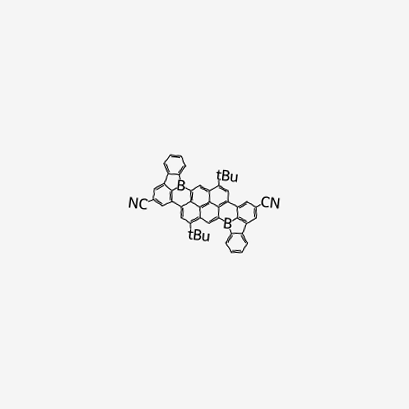 CC(C)(C)c1cc2c3c(cc4c(C(C)(C)C)cc5c6c(cc1c3c46)B1c3ccccc3-c3cc(C#N)cc-5c31)B1c3ccccc3-c3cc(C#N)cc-2c31